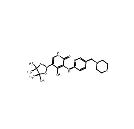 Cc1c(B2OC(C)(C)C(C)(C)O2)c[nH]c(=O)c1Nc1ccc(CN2CCOCC2)cn1